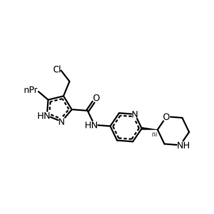 CCCc1[nH]nc(C(=O)Nc2ccc([C@@H]3CNCCO3)nc2)c1CCl